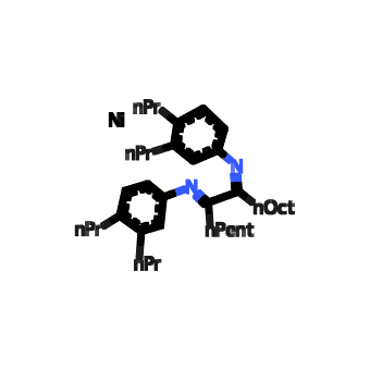 CCCCCCCCC(=Nc1ccc(CCC)c(CCC)c1)C(CCCCC)=Nc1ccc(CCC)c(CCC)c1.[Ni]